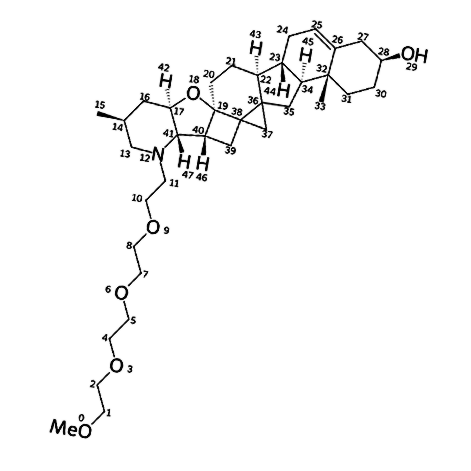 COCCOCCOCCOCCN1C[C@@H](C)C[C@H]2O[C@@]34CC[C@H]5[C@@H]6CC=C7C[C@@H](O)CC[C@]7(C)[C@H]6CC56CC63C[C@@H]4[C@@H]21